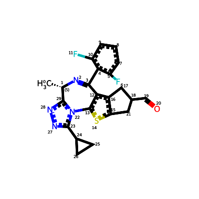 C[C@@H]1N=C(c2c(F)cccc2F)c2c(sc3c2CC(C=O)C3)-n2c(C3CC3)nnc21